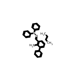 CCCC.Nc1c(/C=N/N(c2ccccc2)c2ccccc2)cccc1-c1ccccc1